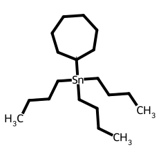 CCC[CH2][Sn]([CH2]CCC)([CH2]CCC)[C]1CCCCCC1